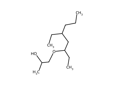 CCCC(CC)CC(CC)OCC(C)O